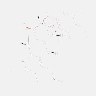 COc1c(C)cc2c(c1O)[C@@H]1C3[C@@H]4SC[C@H](O)C(=O)OC[C@@H](c5c6c(c(C)c(OC(C)=O)c54)OCO6)N3[C@@H](O)[C@H](C2)N1C